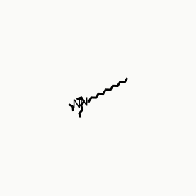 CCCCCCCCCCCCN1C=CN(C(C)C)C1CCC